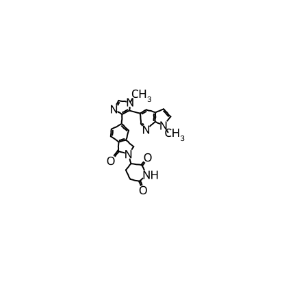 Cn1cnc(-c2ccc3c(c2)CN(C2CCC(=O)NC2=O)C3=O)c1-c1cnc2c(ccn2C)c1